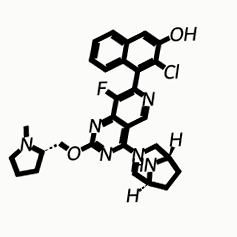 CN1CCC[C@H]1COc1nc(N2C[C@@H]3CC[C@@H](C2)N3)c2cnc(-c3c(Cl)c(O)cc4ccccc34)c(F)c2n1